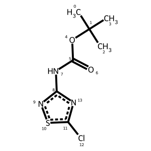 CC(C)(C)OC(=O)Nc1nsc(Cl)n1